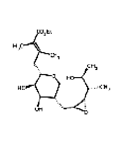 CCOC(=O)/C(C)=C(\C)C[C@@H]1OC[C@H](C[C@@H]2O[C@H]2[C@@H](C)[C@H](C)O)[C@@H](O)[C@H]1O